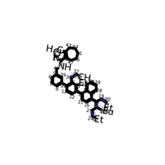 C=NC(NCc1cccc(-c2ccc(-c3ccc(C(/C=C\CC)=C(\C=C/CC)C(C)CC)c4ccccc34)c(CC)c2/C=C\C)c1)C1=C(C)CCCCC1